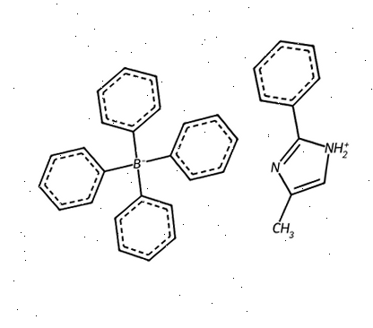 CC1=C[NH2+]C(c2ccccc2)=N1.c1ccc([B-](c2ccccc2)(c2ccccc2)c2ccccc2)cc1